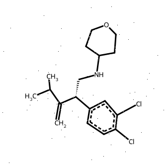 C=C(C(C)C)[C@H](CNC1CCOCC1)c1ccc(Cl)c(Cl)c1